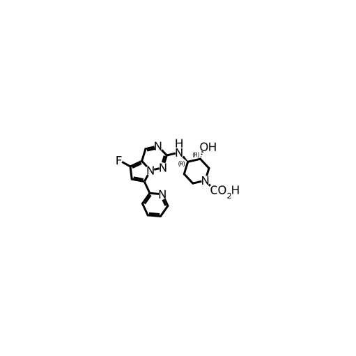 O=C(O)N1CC[C@@H](Nc2ncc3c(F)cc(-c4ccccn4)n3n2)[C@H](O)C1